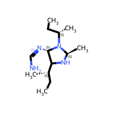 CC[C@H](C)C1N[C@H](C)N([C@@H](C)CC)[C@H]1/N=C\N